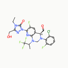 CCn1c(CO)nn(-c2nc3c(cc2F)[C@@H](C=O)N(c2c(F)cccc2Cl)CN3C(C)C(F)(F)F)c1=O